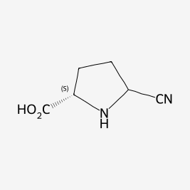 N#CC1CC[C@@H](C(=O)O)N1